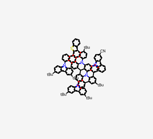 CC(C)(C)c1ccc(N2c3cc(-c4c(-c5cccc6c5sc5ccccc56)cccc4-n4c5ccc(C(C)(C)C)cc5c5cc(C(C)(C)C)ccc54)ccc3C3c4ccc(-n5c6ccc(C(C)(C)C)cc6c6cc(C(C)(C)C)ccc65)cc4N(c4c(-c5ccccc5)cc(C(C)(C)C)cc4-c4ccccc4)c4cc(-n5c6ccccc6c6cc(C#N)ccc65)cc2c43)c(-c2ccccc2)c1